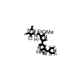 CC[C@H](Nc1nc(C)nc(C)c1Cl)c1cc(-c2cnc3[nH]nc(-c4ccncc4)c3c2)cnc1OC